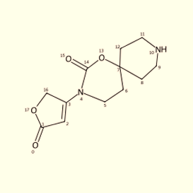 O=C1C=C(N2CCC3(CCNCC3)OC2=O)CO1